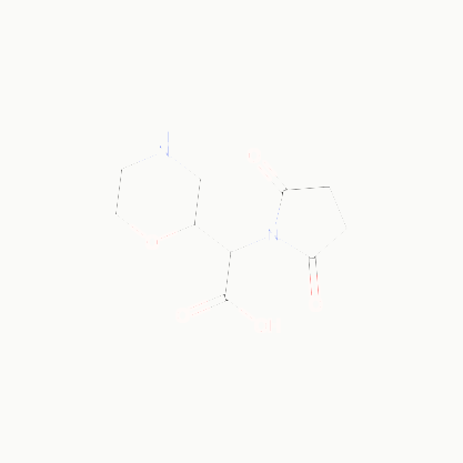 O=C(O)C(C1CNCCO1)N1C(=O)CCC1=O